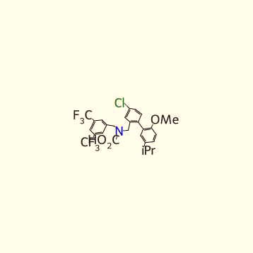 COc1ccc(C(C)C)cc1-c1ccc(Cl)cc1CN(Cc1cc(C(F)(F)F)cc(C(F)(F)F)c1)C(=O)O